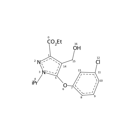 CCOC(=O)c1nn(C(C)C)c(Oc2cccc(Cl)c2)c1CO